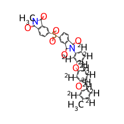 [2H]c1c([2H])c(C)c([2H])c(Oc2c([2H])c([2H])c([2H])c(Oc3c([2H])c([2H])c([2H])c(N4C(=O)c5ccc(S(=O)(=O)c6ccc7c(c6)C(=O)N(C)C7=O)cc5C4=O)c3[2H])c2[2H])c1[2H]